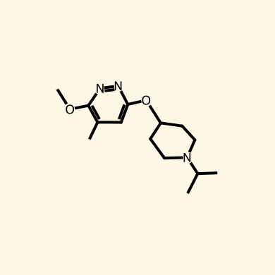 COc1nnc(OC2CCN(C(C)C)CC2)cc1C